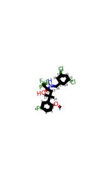 COc1ccc(F)cc1C(C)(C)CC(O)(NCc1cc(Cl)cc(Cl)c1)C(F)(F)F